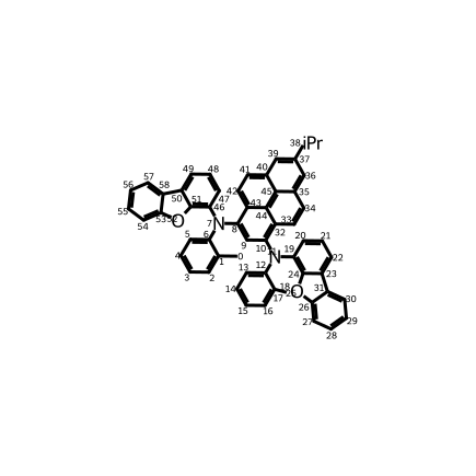 Cc1ccccc1N(c1cc(N(c2ccccc2C)c2cccc3c2oc2ccccc23)c2ccc3cc(C(C)C)cc4ccc1c2c43)c1cccc2c1oc1ccccc12